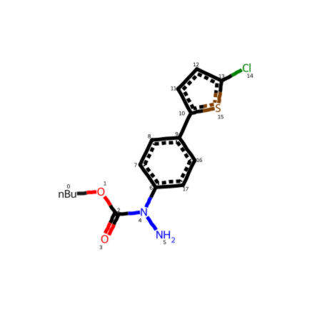 CCCCOC(=O)N(N)c1ccc(-c2ccc(Cl)s2)cc1